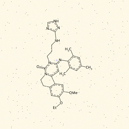 CCOc1cc2c(cc1OC)-c1c/c(=N\c3c(C)cc(C)cc3C)n(CCCNc3nc[nH]n3)c(=O)n1CC2